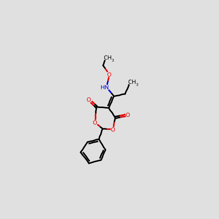 CCONC(CC)=C1C(=O)OC(c2ccccc2)OC1=O